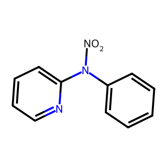 O=[N+]([O-])N(c1ccccc1)c1ccccn1